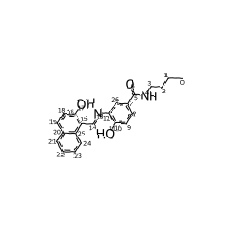 CCCCNC(=O)c1ccc(O)c(N=Cc2c(O)ccc3ccccc23)c1